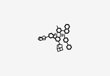 Cc1cc2c3c(c1)-n1c4ccc(C56CC7CC8CC7(C5)C8C6)cc4c4cc(C56CC7CC8CC(C5)C87C6)cc(c41)B3N(c1ccc(-c3ccccc3)cc1)c1ccc3ccccc3c1-2